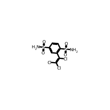 NS(=O)(=O)c1ccc(S(N)(=O)=O)c(C(Cl)=C(Cl)Cl)c1